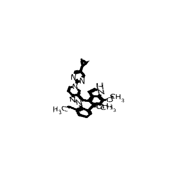 CCc1cccc(CC)c1-n1nc2c(c1-c1cc(C)c(OC)c3[nH]ccc13)CN(c1ncc(C3CC3)cn1)CC2